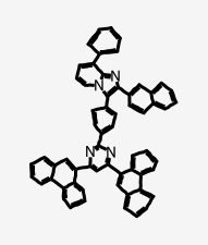 c1ccc(-c2cccn3c(-c4ccc(-c5nc(-c6cc7ccccc7c7ccccc67)cc(-c6cc7ccccc7c7ccccc67)n5)cc4)c(-c4ccc5ccccc5c4)nc23)cc1